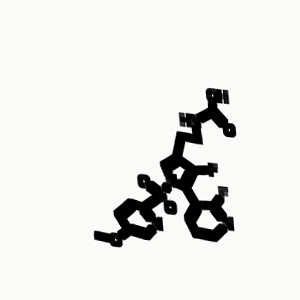 COc1ccc(S(=O)(=O)n2cc(CCNC(=O)O)c(F)c2-c2cccnc2F)nc1